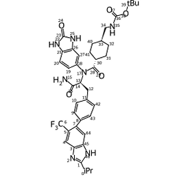 CC(C)c1nc2cc(C(F)(F)F)c(-c3ccc(C[C@@H](C(N)=O)N(c4ccc5[nH]c(=O)[nH]c5c4)C(=O)[C@H]4CC[C@H](CNC(=O)OC(C)(C)C)CC4)cc3)cc2[nH]1